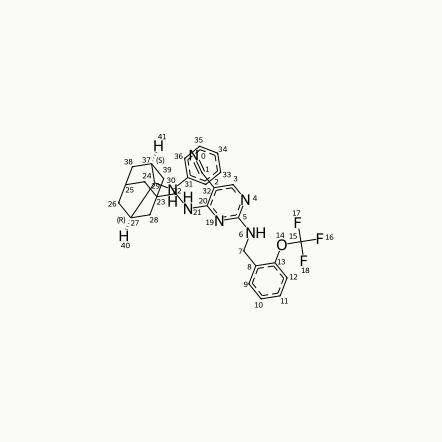 N#Cc1cnc(NCc2ccccc2OC(F)(F)F)nc1NCC12CC3C[C@H](C1)C(Nc1ccccc1)[C@@H](C3)C2